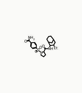 CCC1CC2CCCC(C2)C1NC(=O)C1CCCN1S(=O)(=O)c1ccc(C(N)=O)cc1